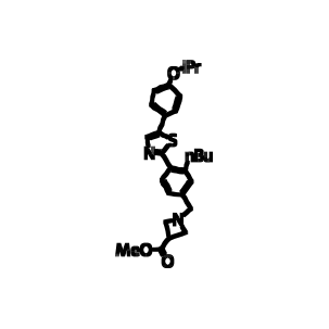 CCCCc1cc(CN2CC(C(=O)OC)C2)ccc1-c1ncc(-c2ccc(OC(C)C)cc2)s1